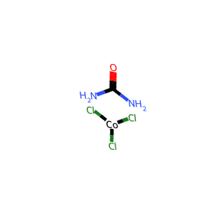 NC(N)=O.[Cl][Co]([Cl])[Cl]